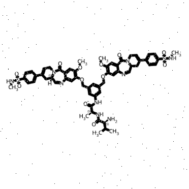 CNS(=O)(=O)c1ccc(C2=CCN3C(=O)c4cc(OC)c(OCc5cc(COc6cc7c(cc6OC)C(=O)N6CC=C(c8ccc(S(=O)(=O)NC)cc8)C[C@H]6C=N7)cc(NC(=O)[C@H](C)NC(=O)[C@@H](N)C(C)C)c5)cc4N=CC3C2)cc1